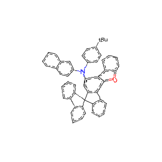 CC(C)(C)c1ccc(N(c2ccc3ccccc3c2)c2cc3c(c4oc5ccccc5c24)-c2ccccc2C32c3ccccc3-c3ccccc32)cc1